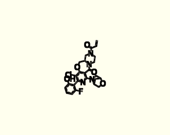 C=CC(=O)N1CCN2C(=O)c3c(N4CC5CC4CO5)nc(-c4c(O)cccc4F)c(Cl)c3OCC2C1